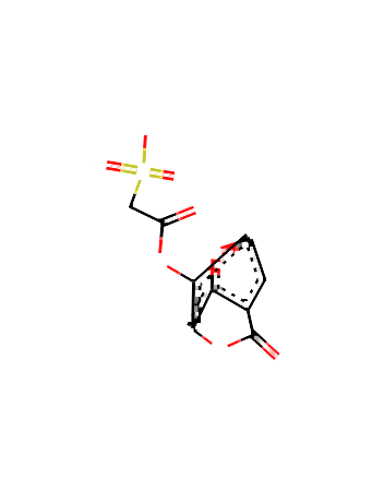 O=C(CS(=O)(=O)O)Oc1c2c3oc1cc3C(=O)O2